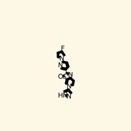 [O-][S+]1C2=CN(c3cn[nH]c3)CCC2=N[C@H]1c1ccc(N2CCC(F)C2)nc1